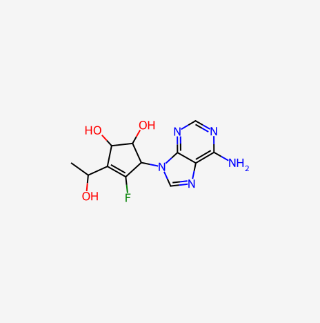 CC(O)C1=C(F)C(n2cnc3c(N)ncnc32)C(O)C1O